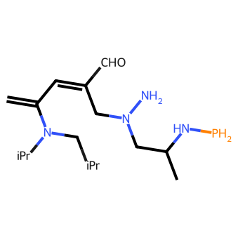 C=C(/C=C(/C=O)CN(N)CC(C)NP)N(CC(C)C)C(C)C